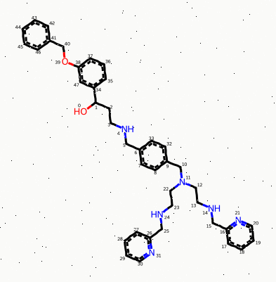 OC(CCNCc1ccc(CN(CCNCc2ccccn2)CCNCc2ccccn2)cc1)c1cccc(OCc2ccccc2)c1